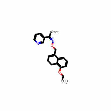 CCCCC/C(=N/OCC1=CCCc2c(OCC(=O)O)cccc21)c1cccnc1